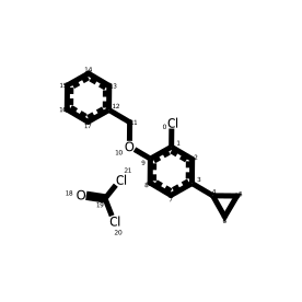 Clc1cc(C2CC2)ccc1OCc1ccccc1.O=C(Cl)Cl